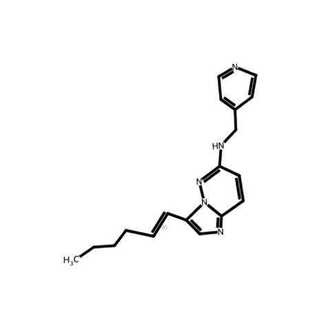 CCCC/C=C/c1cnc2ccc(NCc3ccncc3)nn12